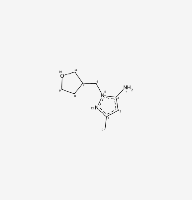 Cc1cc(N)n(CC2CCOC2)n1